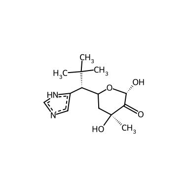 CC(C)(C)[C@@H](c1cnc[nH]1)C1C[C@](C)(O)C(=O)[C@@H](O)O1